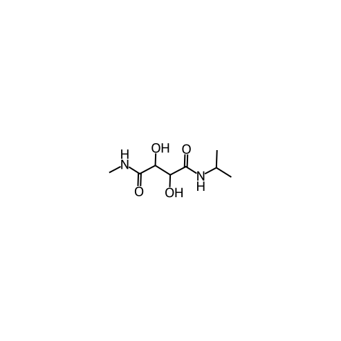 CNC(=O)C(O)C(O)C(=O)NC(C)C